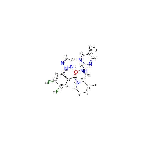 CC1CCCN(C(=O)c2cc(F)c(F)cc2-n2nccn2)[C@@H]1CNc1ncc(C(F)(F)F)cn1